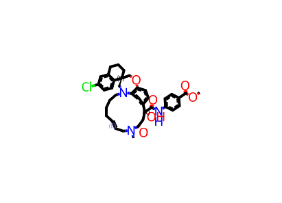 COC(=O)c1ccc(NC(=O)[C@@]2(O)CC(=O)N(C)C/C=C/CCCCN3C[C@@]4(CCCc5cc(Cl)ccc54)COc4ccc2cc43)cc1